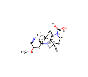 COc1cncc(N2C[C@H]3CCN(C(=O)O)C[C@@]32C(C)(C)C)c1